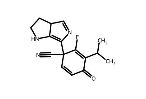 CC(C)C1=C(F)C(C#N)(C2=C3NCCC3C=N2)C=CC1=O